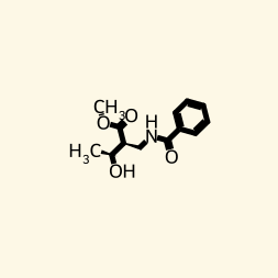 COC(=O)[C@@H](CNC(=O)c1ccccc1)[C@H](C)O